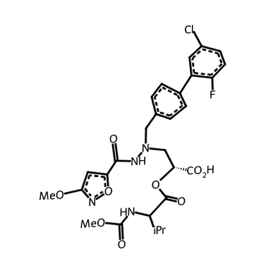 COC(=O)NC(C(=O)O[C@H](CN(Cc1ccc(-c2cc(Cl)ccc2F)cc1)NC(=O)c1cc(OC)no1)C(=O)O)C(C)C